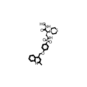 Cc1cc(COc2ccc(S(=O)(=O)NC[C@@H](C(=O)NO)N3CCSCC3)cc2)c2ccccc2n1